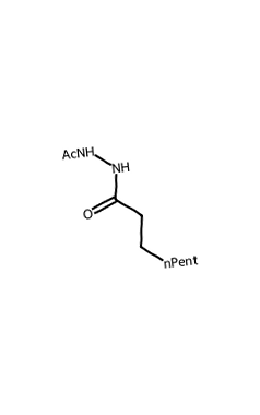 CCCCCCCC(=O)NNC(C)=O